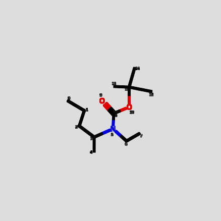 CCCC(C)N(CC)C(=O)OC(C)(C)C